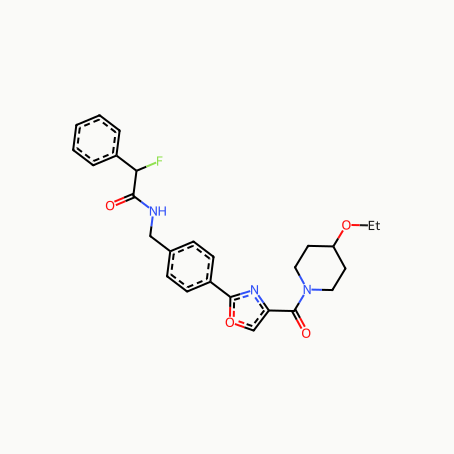 CCOC1CCN(C(=O)c2coc(-c3ccc(CNC(=O)C(F)c4ccccc4)cc3)n2)CC1